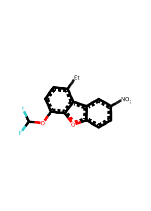 [CH2]Cc1ccc(OC(F)F)c2oc3ccc([N+](=O)[O-])cc3c12